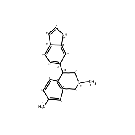 Cc1ccc2c(c1)CN(C)CC2c1ccc2cc[nH]c2c1